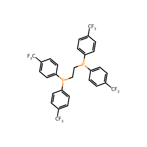 FC(F)(F)c1ccc(P(CCP(c2ccc(C(F)(F)F)cc2)c2ccc(C(F)(F)F)cc2)c2ccc(C(F)(F)F)cc2)cc1